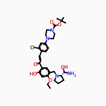 CCOc1cc(O)c(C(=O)/C=C/c2ccc(N3CCN(C(=O)OC(C)(C)C)CC3)cc2Cl)cc1CN1CCC[C@H]1C(N)O